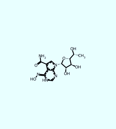 C[C@@H](O)[C@H]1O[C@@H](n2cc(C(N)=O)c3c(=NO)[nH]cnc32)[C@H](O)[C@@H]1O